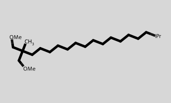 COCC(C)(CCCCCCCCCCCCCCC(C)C)COC